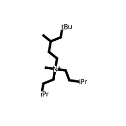 CC(C)CC[N+](C)(CCC(C)C)CCC(C)CC(C)(C)C